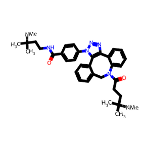 CNC(C)(C)CCNC(=O)c1ccc(-n2nnc3c2-c2ccccc2CN(C(=O)CCC(C)(C)NC)c2ccccc2-3)cc1